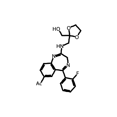 CC(=O)c1ccc2c(c1)C(c1ccccc1F)=NCC(NCC1(CO)OCCO1)=N2